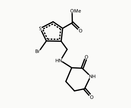 COC(=O)c1csc(Br)c1CNC1CCC(=O)NC1=O